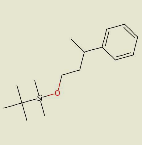 CC(CCO[Si](C)(C)C(C)(C)C)c1ccccc1